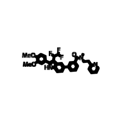 COc1ccc(-c2[nH]c3ccc(-c4cccc(C(=O)N(C)CCc5ccccn5)c4)cc3c2C(F)C(F)F)cc1OC